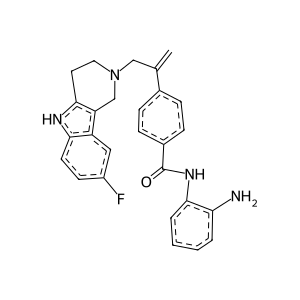 C=C(CN1CCc2[nH]c3ccc(F)cc3c2C1)c1ccc(C(=O)Nc2ccccc2N)cc1